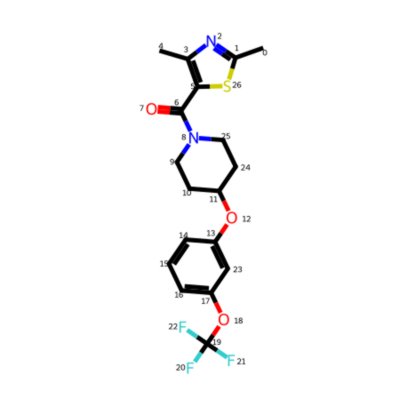 Cc1nc(C)c(C(=O)N2CCC(Oc3cccc(OC(F)(F)F)c3)CC2)s1